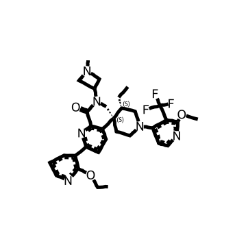 CCOc1ncccc1-c1ccc2c(n1)C(=O)N(C1CN(C)C1)C[C@]21CCN(c2ccnc(OC)c2C(F)(F)F)C[C@H]1CC